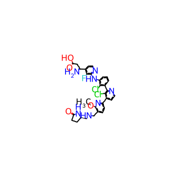 COc1nc(-c2ccnc(-c3cccc(Nc4nccc([C@H](N)CC(=O)O)c4F)c3Cl)c2Cl)ccc1CNC[C@H]1CCC(=O)N1